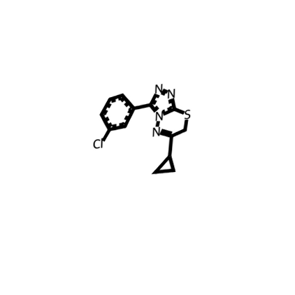 Clc1cccc(-c2nnc3n2N=C(C2CC2)CS3)c1